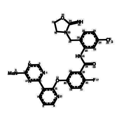 CNc1ncnc(-c2cccnc2Oc2ccc(F)c(C(=O)Nc3cc(C(F)(F)F)ccc3CN3CCOC3=N)c2)n1